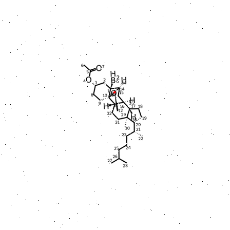 B[C@]12C[C@@H](OC(C)=O)CC[C@@]13[C@@H](C)O[C@@H]2C[C@H]1[C@@H]2CC[C@H]([C@H](C)CCCC(C)C)[C@@]2(C)CC[C@@H]13